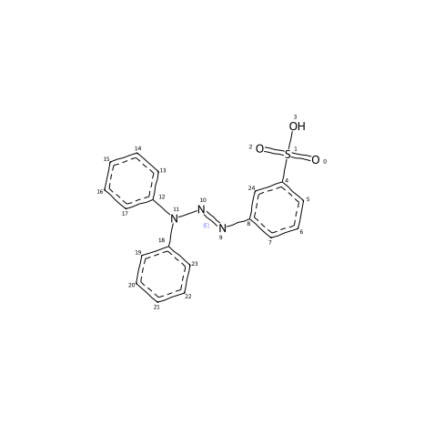 O=S(=O)(O)c1cccc(/N=N/N(c2ccccc2)c2ccccc2)c1